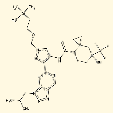 CC(C)Cn1nnc2cnc(-c3nn(COCC[Si](C)(C)C)cc3NC(=O)N3CCC(O)(C(F)(F)F)CC34CC4)cc21